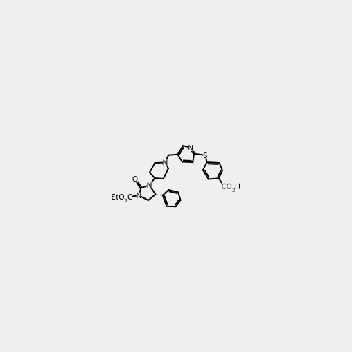 CCOC(=O)N1C[C@@H](c2ccccc2)N(C2CCN(Cc3ccc(Sc4ccc(C(=O)O)cc4)nc3)CC2)C1=O